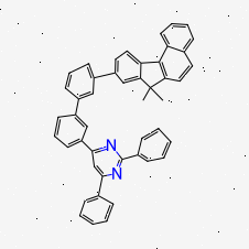 CC1(C)c2cc(-c3cccc(-c4cccc(-c5cc(-c6ccccc6)nc(-c6ccccc6)n5)c4)c3)ccc2-c2c1ccc1ccccc21